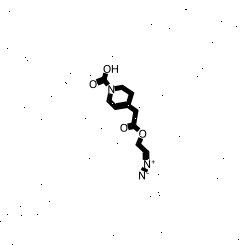 [N-]=[N+]=CCOC(=O)CC1=CCN(C(=O)O)CC1